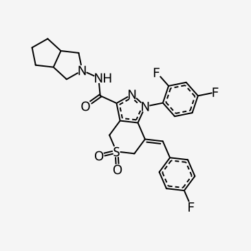 O=C(NN1CC2CCCC2C1)c1nn(-c2ccc(F)cc2F)c2c1CS(=O)(=O)C/C2=C\c1ccc(F)cc1